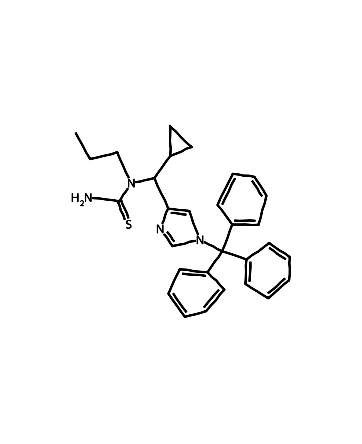 CCCN(C(N)=S)C(c1cn(C(c2ccccc2)(c2ccccc2)c2ccccc2)cn1)C1CC1